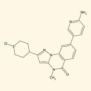 Cn1c(=O)c2ccc(-c3ccc(N)nc3)cc2n2nc(C3CC[S+]([O-])CC3)cc12